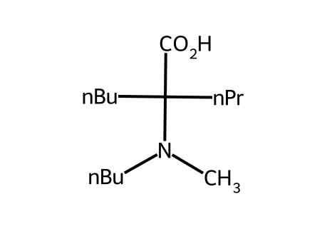 CCCCN(C)C(CCC)(CCCC)C(=O)O